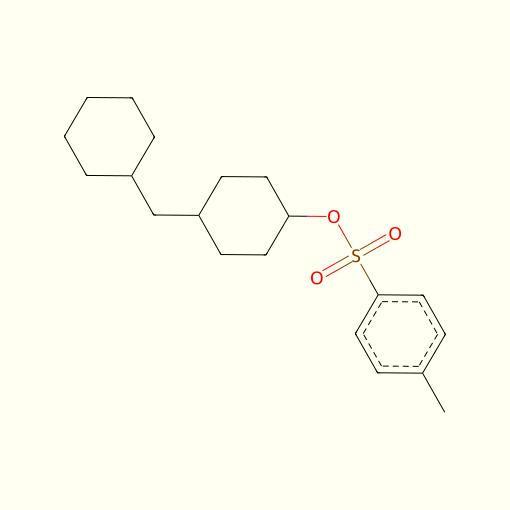 Cc1ccc(S(=O)(=O)OC2CCC(CC3CCCCC3)CC2)cc1